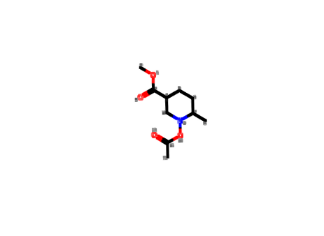 COC(=O)C1CCC(C)N(OC(C)=O)C1